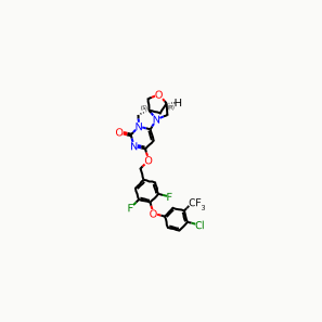 O=c1nc(OCc2cc(F)c(Oc3ccc(Cl)c(C(F)(F)F)c3)c(F)c2)cc2n1C[C@@]13CO[C@@H](CN21)C3